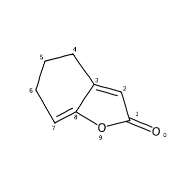 O=C1C=C2CCCC=C2O1